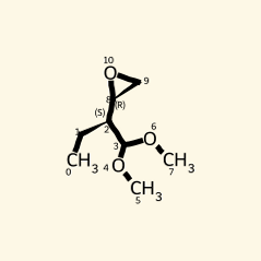 CC[C@H](C(OC)OC)[C@@H]1CO1